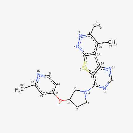 Cc1nnc2sc3c(N4CCC(Oc5ccnc(C(F)(F)F)c5)C4)ncnc3c2c1C